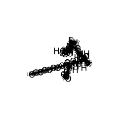 CC[C@@]1(O)C(=O)OCc2c1cc1n(c2=O)Cc2c-1nc1cc(F)c3c(c1c2CNC(=O)COCNC(=O)CNC(=O)[C@H](Cc1ccccc1)NC(=O)CNC(=O)CNC(=O)CC[C@H](NC(=O)CCCCCN1C(=O)C=CC1=O)C(=O)NCCOCCOCCOCCOCCOCCOCCOCCOC)CCC3